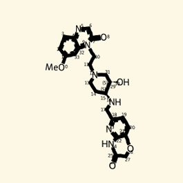 COc1ccc2ncc(=O)n(CCN3CC[C@H](NCc4ccc5c(n4)NC(=O)CO5)[C@@H](O)C3)c2c1